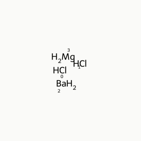 Cl.Cl.[BaH2].[MgH2]